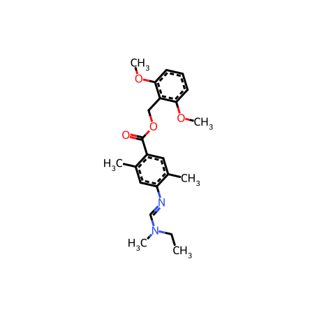 CCN(C)/C=N/c1cc(C)c(C(=O)OCc2c(OC)cccc2OC)cc1C